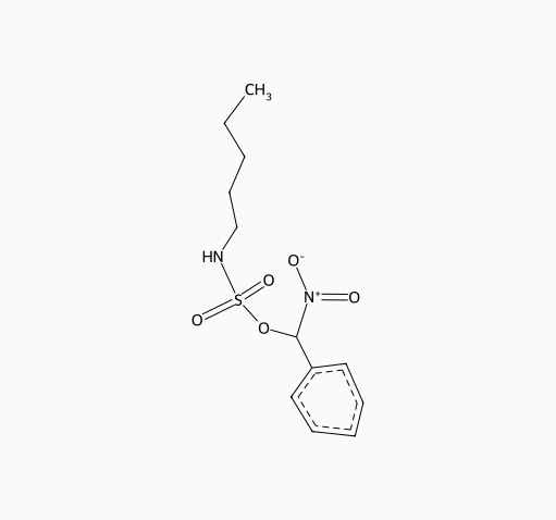 CCCCCNS(=O)(=O)OC(c1ccccc1)[N+](=O)[O-]